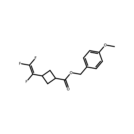 COc1ccc(COC(=O)C2CC(C(F)=C(F)F)C2)cc1